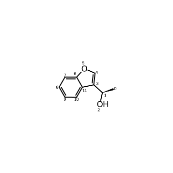 C[C@@H](O)c1coc2ccccc12